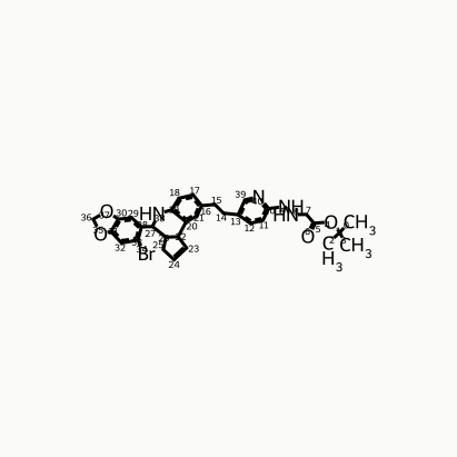 CC(C)(C)OC(=O)CNNc1ccc(CCc2ccc3c(c2)C2C=CCC2C(c2cc4c(cc2Br)OCO4)N3)cn1